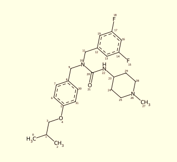 CC(C)COc1ccc(CN(Cc2cc(F)cc(F)c2)C(=O)NC2CCN(C)CC2)cc1